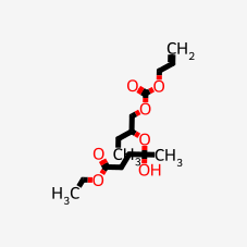 C=CCOC(=O)OCC(CC)OC(C)(O)CCC(=O)OCC